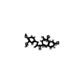 COc1ccc(CC(C)NC2=Nc3ccc(Cl)cc3C(=O)N(C)C2)cc1OC